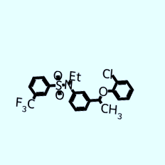 CCN(c1cccc(C(C)Oc2ccccc2Cl)c1)S(=O)(=O)c1cccc(C(F)(F)F)c1